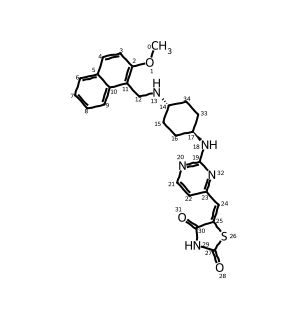 COc1ccc2ccccc2c1CN[C@H]1CC[C@H](Nc2nccc(C=C3SC(=O)NC3=O)n2)CC1